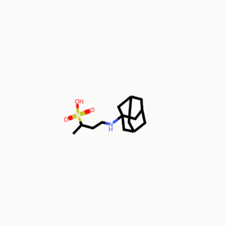 CC(CCNC12CC3CC(CC(C3)C1)C2)S(=O)(=O)O